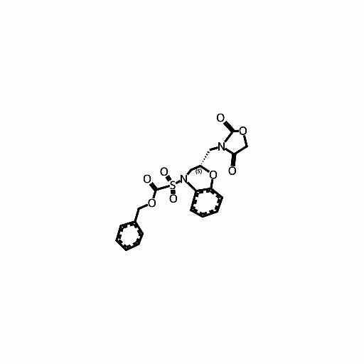 O=C1COC(=O)N1C[C@H]1CN(S(=O)(=O)C(=O)OCc2ccccc2)c2ccccc2O1